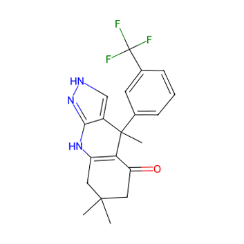 CC1(C)CC(=O)C2=C(C1)Nc1n[nH]cc1C2(C)c1cccc(C(F)(F)F)c1